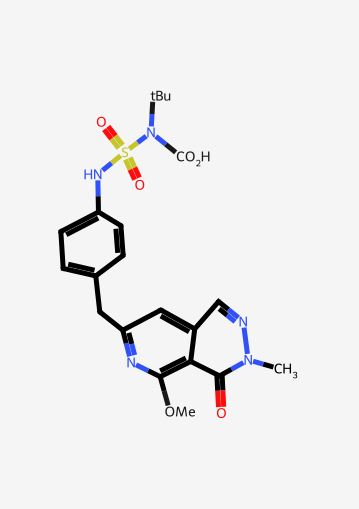 COc1nc(Cc2ccc(NS(=O)(=O)N(C(=O)O)C(C)(C)C)cc2)cc2cnn(C)c(=O)c12